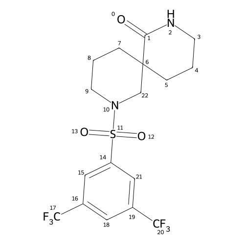 O=C1NCCCC12CCCN(S(=O)(=O)c1cc(C(F)(F)F)cc(C(F)(F)F)c1)C2